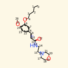 CCCCCOc1cc(/C=C/C(=O)NCCN2CCOCC2)ccc1OC